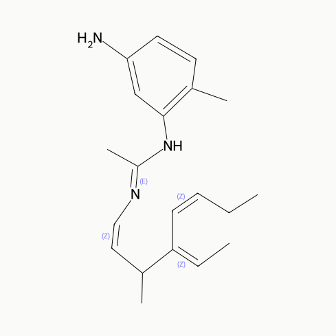 C/C=C(\C=C/CC)C(C)/C=C\N=C(/C)Nc1cc(N)ccc1C